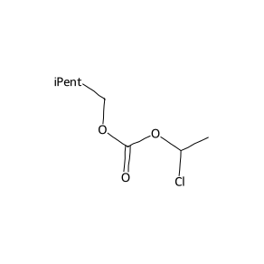 CCCC(C)COC(=O)OC(C)Cl